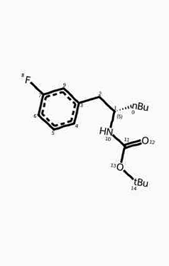 CCCC[C@@H](Cc1cccc(F)c1)NC(=O)OC(C)(C)C